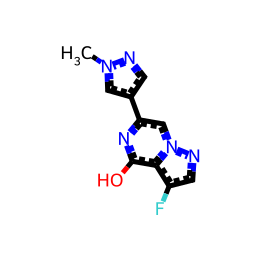 Cn1cc(-c2cn3ncc(F)c3c(O)n2)cn1